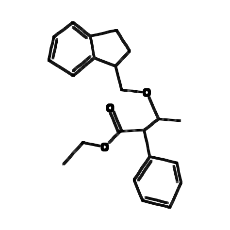 CCOC(=O)C(c1ccccc1)C(C)OCC1CCc2ccccc21